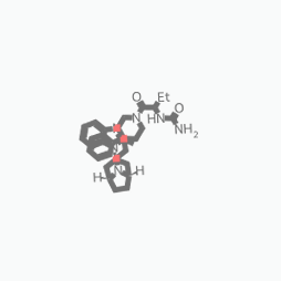 CCC(NC(N)=O)C(=O)N1CCC(CCN2[C@@H]3CC[C@H]2C[C@@H](n2c(C)nc4ccccc42)C3)(c2ccccc2)CC1